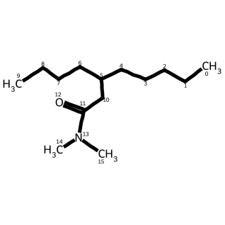 CCCCCC(CCCC)CC(=O)N(C)C